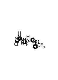 O=C(c1ccccc1C(F)(F)F)N1CCC[C@@H](CNc2nc(-c3c[nH]c4ncc(Cl)cc34)ncc2F)C1